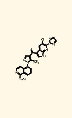 COc1nccc2c(-n3ncc(C(=O)c4c[nH]c5nc(-n6nccn6)c(Cl)cc45)c3C(F)(F)F)cccc12